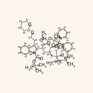 CCC(CC)(C[C@H](CO[Si](c1ccccc1)(c1ccccc1)C(C)(C)C)CC(C(=O)OC)c1c(CCOC2CCCCO2)c2ccccc2n1C(=O)OC(C)(C)C)O[Si](C)(C)C